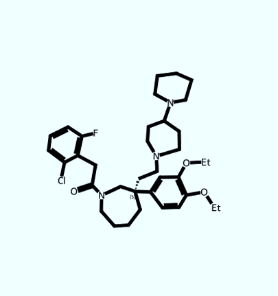 CCOc1ccc([C@@]2(CCN3CCC(N4CCCCC4)CC3)CCCCN(C(=O)Cc3c(F)cccc3Cl)C2)cc1OCC